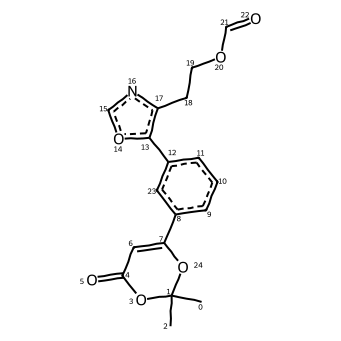 CC1(C)OC(=O)C=C(c2cccc(-c3ocnc3CCOC=O)c2)O1